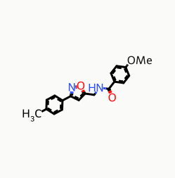 COc1ccc(C(=O)NCc2cc(-c3ccc(C)cc3)no2)cc1